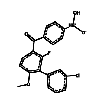 COc1ccc(C(=O)c2ccc([NH+]([O-])O)cc2)c(F)c1-c1cccc(Cl)c1